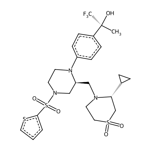 C[C@](O)(c1ccc(N2CCN(S(=O)(=O)c3cccs3)C[C@@H]2CN2CCS(=O)(=O)C[C@H]2C2CC2)cc1)C(F)(F)F